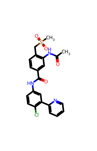 CC(=O)Nc1cc(C(=O)Nc2ccc(Cl)c(-c3ccccn3)c2)ccc1CS(C)(=O)=O